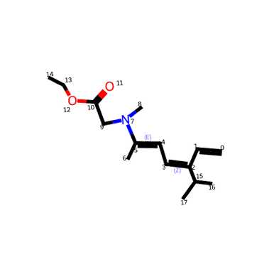 C=C/C(=C\C=C(/C)N(C)CC(=O)OCC)C(C)C